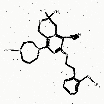 COc1ccccc1CCSc1nc(N2CCCN(C)CC2)c2c(c1C#N)CC(C)(C)OC2